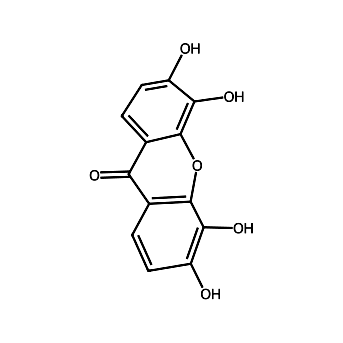 O=c1c2ccc(O)c(O)c2oc2c(O)c(O)ccc12